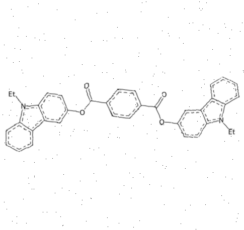 CCn1c2ccccc2c2cc(OC(=O)c3ccc(C(=O)Oc4ccc5c(c4)c4ccccc4n5CC)cc3)ccc21